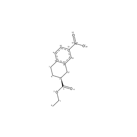 CCOC(=O)[C@H]1CCc2ccc([N+](=O)[O-])cc2C1